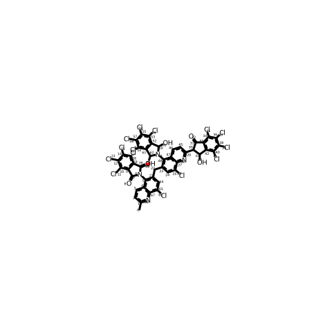 Cc1ccc2c(N3C(=O)c4c(Cl)c(Cl)c(Cl)c(Cl)c4C3=O)c(Cc3cc(Cl)c4nc(C5C(=O)c6c(Cl)c(Cl)c(Cl)c(Cl)c6C5O)ccc4c3N3C(O)c4c(Cl)c(Cl)c(Cl)c(Cl)c4C3O)cc(Cl)c2n1